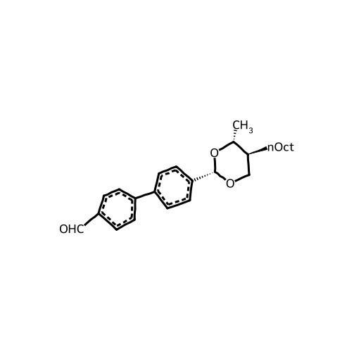 CCCCCCCC[C@H]1CO[C@H](c2ccc(-c3ccc(C=O)cc3)cc2)O[C@@H]1C